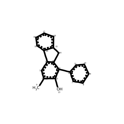 Cc1cc2c(c(-c3ccccc3)c1O)Cc1ccccc1-2